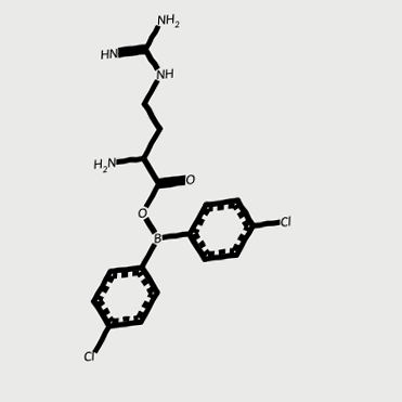 N=C(N)NCCC(N)C(=O)OB(c1ccc(Cl)cc1)c1ccc(Cl)cc1